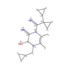 CC1=C(C)N(CC2CC2)C(O)C(=N)N1C(=N)C1(C2CC2)CC1